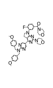 COc1ccc(CN(Cc2ccc(OC)cc2)c2ncc(-c3nc(N4CCOCC4)nc4c3CCN4c3cc(C(=O)N4CCOCC4)ccc3F)cn2)cc1